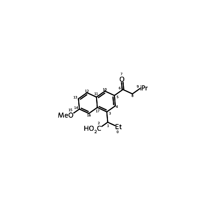 CCC(C(=O)O)c1cc(C(=O)CC(C)C)cc2ccc(OC)cc12